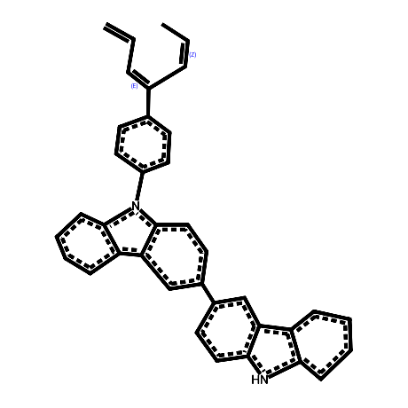 C=C/C=C(\C=C/C)c1ccc(-n2c3ccccc3c3cc(-c4ccc5[nH]c6ccccc6c5c4)ccc32)cc1